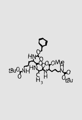 COC(=O)C(CCCNC(=O)OC(C)(C)C)NC(=O)C(C)NC(=O)C(CCCNC(=O)OC(C)(C)C)NC(=O)OCc1ccccc1